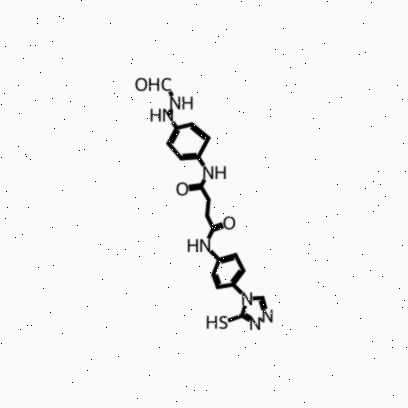 O=CNNc1ccc(NC(=O)CCC(=O)Nc2ccc(-n3cnnc3S)cc2)cc1